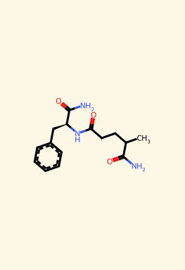 CC(C[CH]C(=O)N[C@@H](Cc1ccccc1)C(N)=O)C(N)=O